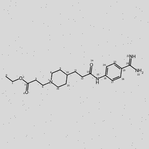 CCOC(=O)CCN1CCC(CCC(=O)Nc2ccc(C(=N)N)cc2)CC1